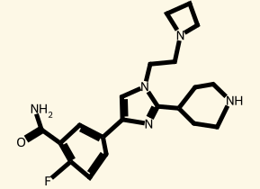 NC(=O)c1cc(-c2cn(CCN3CCC3)c(C3CCNCC3)n2)ccc1F